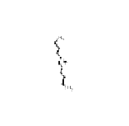 C#N.CCCCCCCCCCC